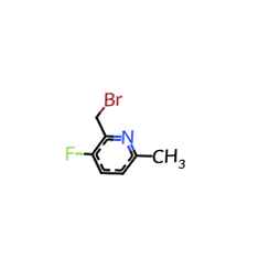 Cc1ccc(F)c(CBr)n1